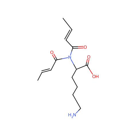 CC=CC(=O)N(C(=O)C=CC)C(CCCCN)C(=O)O